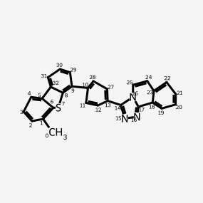 Cc1cccc2c1sc1c(-c3ccc(-c4nnc5c6ccccc6ccn45)cc3)cccc12